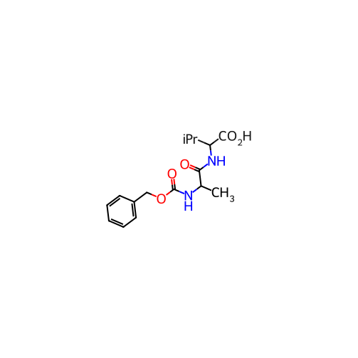 CC(NC(=O)OCc1ccccc1)C(=O)NC(C(=O)O)C(C)C